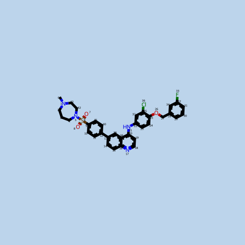 CN1CCCN(S(=O)(=O)c2ccc(-c3ccc4nccc(Nc5ccc(OCc6cccc(F)c6)c(Cl)c5)c4c3)cc2)CC1